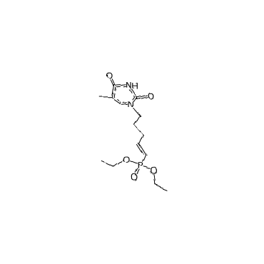 CCOP(=O)(C=CCCCn1cc(C)c(=O)[nH]c1=O)OCC